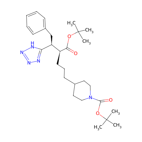 CC(C)(C)OC(=O)[C@@H](CCCC1CCN(C(=O)OC(C)(C)C)CC1)[C@H](Cc1ccccc1)c1nnn[nH]1